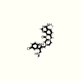 CNCc1c(CN2CCN(Cc3ccc4c(N)ncnc4c3)[C@H](C=O)C2)[nH]c2ccc(Cl)cc12